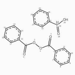 O=C(OOC(=O)c1ccccc1)c1ccccc1.O=[PH](O)c1ccccc1